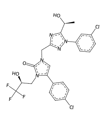 C[C@H](O)c1nc(Cn2cc(-c3ccc(Cl)cc3)n(C[C@H](O)C(F)(F)F)c2=O)nn1-c1cccc(Cl)c1